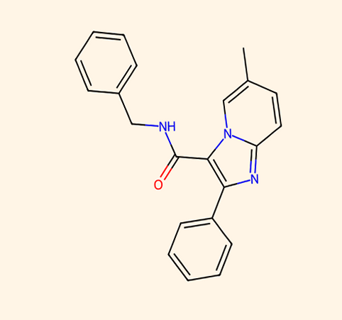 Cc1ccc2nc(-c3ccccc3)c(C(=O)NCc3ccccc3)n2c1